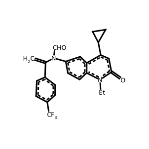 C=C(c1ccc(C(F)(F)F)cc1)N(C=O)c1ccc2c(c1)c(C1CC1)cc(=O)n2CC